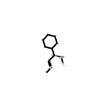 C/N=C/[C@H](NF)C1CCCCC1